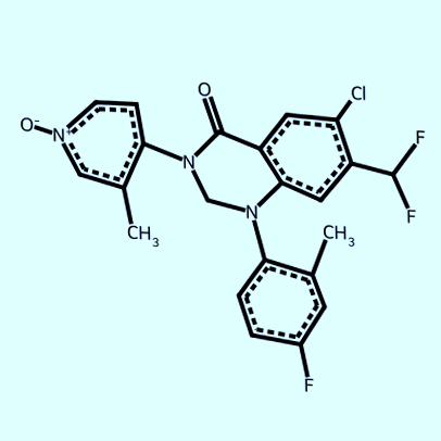 Cc1c[n+]([O-])ccc1N1CN(c2ccc(F)cc2C)c2cc(C(F)F)c(Cl)cc2C1=O